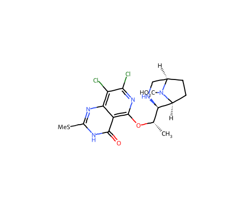 CSc1nc2c(Cl)c(Cl)nc(O[C@@H](C)[C@H]3NC[C@H]4CC[C@@H]3N4C(=O)O)c2c(=O)[nH]1